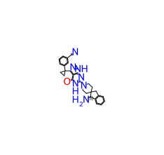 N#Cc1cccc(C2(c3n[nH]c4nc(N5CCC6(CC5)Cc5ccccc5[C@H]6N)[nH]c(=O)c34)CC2)c1